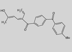 C=C/C(=C\C=C(/C)O)C(=O)c1ccc(C(=O)c2ccc(C(C)(C)C)cc2)cc1